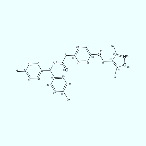 Cc1ccc(C(NC(=O)Cc2ccc(OCc3c(C)noc3C)cc2)c2ccc(C)cc2)cc1